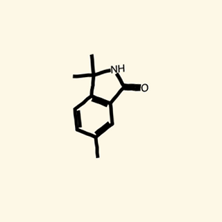 Cc1ccc2c(c1)C(=O)NC2(C)C